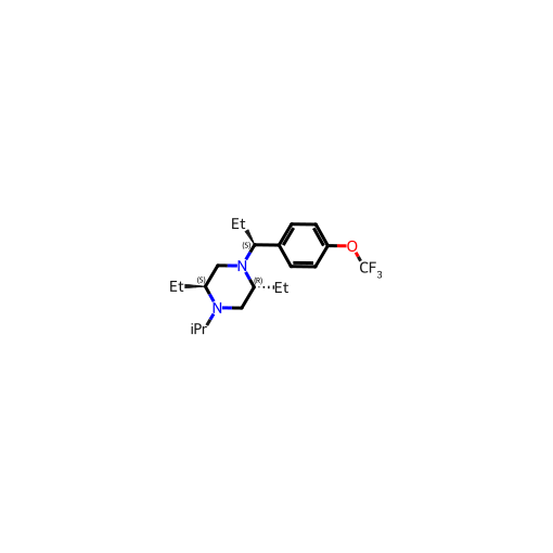 CC[C@H]1CN([C@@H](CC)c2ccc(OC(F)(F)F)cc2)[C@H](CC)CN1C(C)C